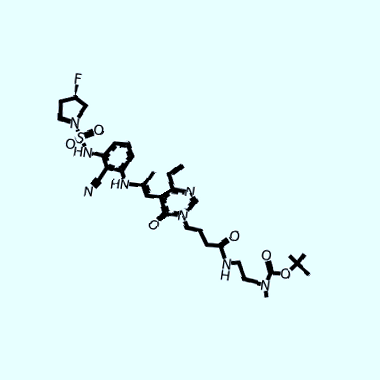 C=Cc1ncn(CCCC(=O)NCCN(C)C(=O)OC(C)(C)C)c(=O)c1/C=C(\C)Nc1cccc(NS(=O)(=O)N2CC[C@@H](F)C2)c1C#N